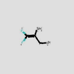 CCCCC([SiH3])=C(F)F